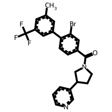 Cc1cc(-c2ccc(C(=O)N3CCC(c4cccnc4)C3)cc2Br)cc(C(F)(F)F)c1